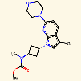 CN(C(=O)OC(C)(C)C)[C@H]1C[C@H](n2cc(C#N)c3ccc(N4CCNCC4)nc32)C1